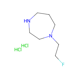 Cl.Cl.FCCN1CCCNCC1